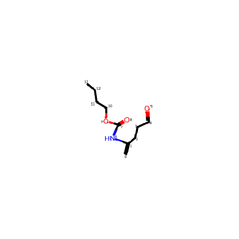 C=C(CCC=O)NC(=O)OCCCC